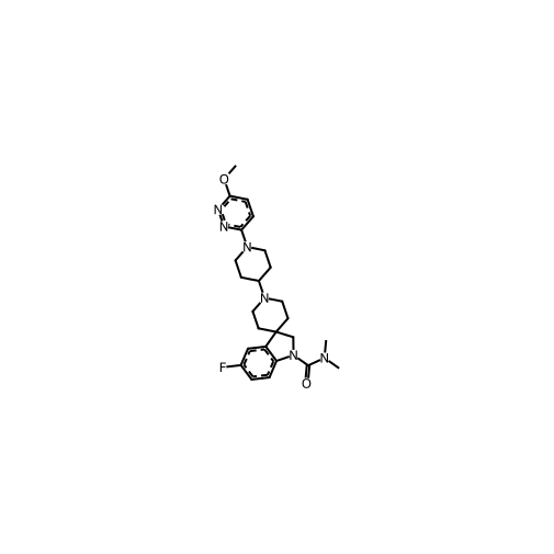 COc1ccc(N2CCC(N3CCC4(CC3)CN(C(=O)N(C)C)c3ccc(F)cc34)CC2)nn1